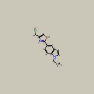 CCn1ccc2cc(-c3nc(CCl)cs3)ccc21